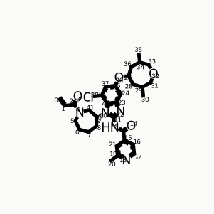 C=CC(=O)N1CCCC[C@@H](n2c(NC(=O)c3ccnc(C)c3)nc3cc(OC4CC(C)COCC(C)C4)cc(Cl)c32)C1